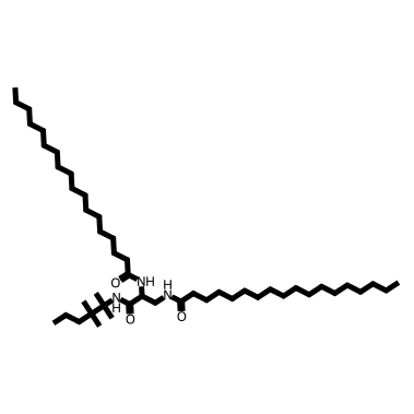 CCCCCCCCCCCCCCCCCC(=O)NCC(NC(=O)CCCCCCCCCCCCCCCCC)C(=O)NC(C)(C)C(C)(C)CCC